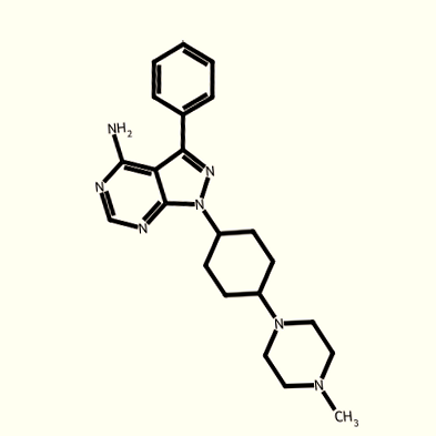 CN1CCN(C2CCC(n3nc(-c4cc[c]cc4)c4c(N)ncnc43)CC2)CC1